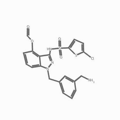 NCc1cccc(Cn2nc(NS(=O)(=O)c3ccc(Cl)s3)c3c(OC=O)cccc32)c1